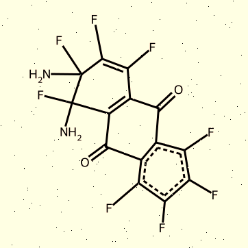 NC1(F)C(F)=C(F)C2=C(C(=O)c3c(F)c(F)c(F)c(F)c3C2=O)C1(N)F